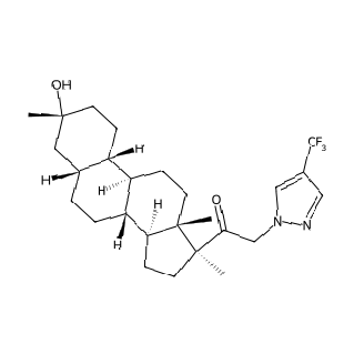 C[C@@]1(O)CC[C@H]2[C@H](CC[C@@H]3[C@@H]2CC[C@@]2(C)[C@H]3CC[C@]2(C)C(=O)Cn2cc(C(F)(F)F)cn2)C1